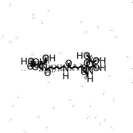 CC(=O)NC1C(OCCCCC(=O)NCCCCCC(=O)N2C[C@H](OP(=O)(O)O)C[C@H]2CO)OC(CO)C(O)C1O